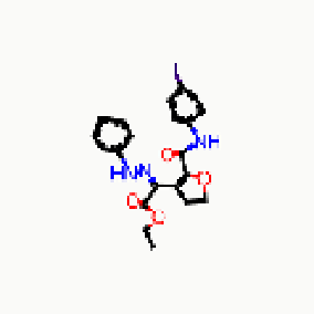 CCOC(=O)/C(=N\Nc1ccccc1)C1=C(C(=O)Nc2ccc(I)cc2)OCC1